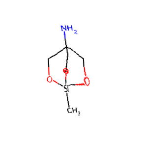 C[Si]12OCC(N)(CO1)CO2